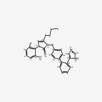 CCCCc1cn(-c2c(C)cccc2Cl)c(=O)n1Cc1ccc(-c2ccccc2-c2nnn[nH]2)cc1